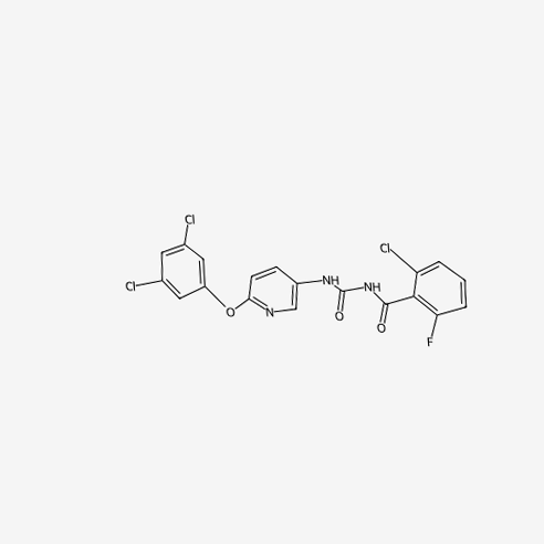 O=C(NC(=O)c1c(F)cccc1Cl)Nc1ccc(Oc2cc(Cl)cc(Cl)c2)nc1